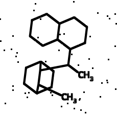 CC1C2CCC(CC2)C1C(C)C1CCCC2CCCCC21